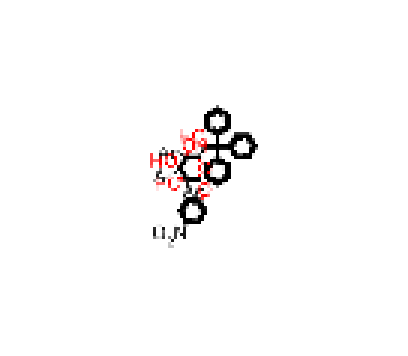 CC(=O)[C@]1(O)[C@@](O)(C(C)=O)[C@@H](C(O)C(c2ccccc2)(c2ccccc2)c2ccccc2)O[C@H](Oc2ccc([N+](=O)[O-])cc2)[C@@]1(O)C(C)=O